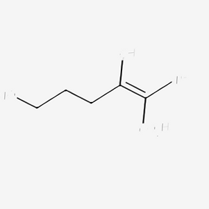 CC(CCCO)=C(C(=O)O)C(C)C